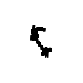 CC(C)COc1cc(S(=O)(=O)NCCCCCCN2CC(=O)NC2=O)ccc1F